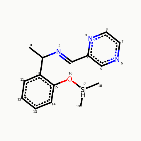 CC(N=Cc1cnccn1)c1ccccc1O[SiH](C)C